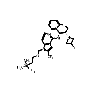 C[Si](C)(C)CCOCn1c(C(F)(F)F)cc2c(N[C@H]3c4ccccc4OC[C@@H]3N3CC(F)C3)nccc21